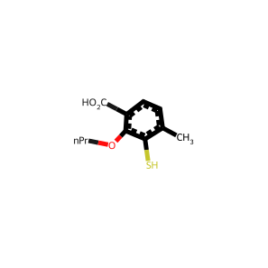 CCCOc1c(C(=O)O)ccc(C)c1S